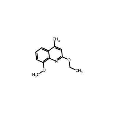 CCOc1cc(C)c2cccc(OC)c2n1